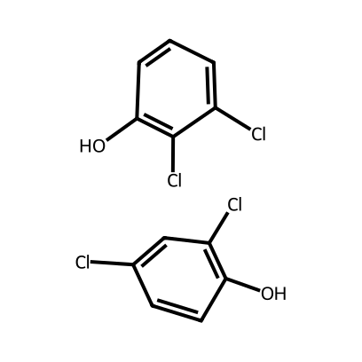 Oc1ccc(Cl)cc1Cl.Oc1cccc(Cl)c1Cl